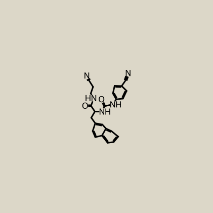 N#CCCNC(=O)C(Cc1ccc2ccccc2c1)NC(=O)Nc1ccc(C#N)cc1